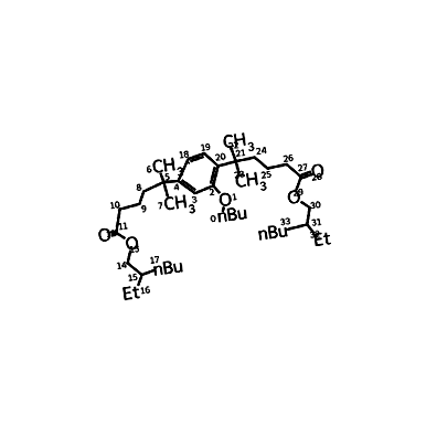 CCCCOc1cc(C(C)(C)CCCC(=O)OCC(CC)CCCC)[c]cc1C(C)(C)CCCC(=O)OCC(CC)CCCC